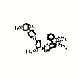 COc1cc(N2CCC(C3(O)CCCN(O)CC3)CC2)ccc1Nc1ncc2ccc(-c3ccccc3N(C)S(C)(=O)=O)n2n1